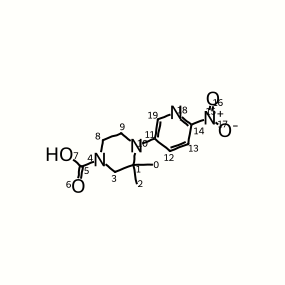 CC1(C)CN(C(=O)O)CCN1c1ccc([N+](=O)[O-])nc1